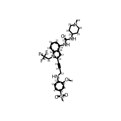 COc1cc(S(C)(=O)=O)ccc1NCC#Cc1cc2c(NC(=O)NC3CCN(C)CC3)cccc2n1CC(F)(F)F